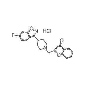 Cl.O=c1cc(CN2CCC(c3noc4cc(F)ccc34)CC2)oc2ccccc12